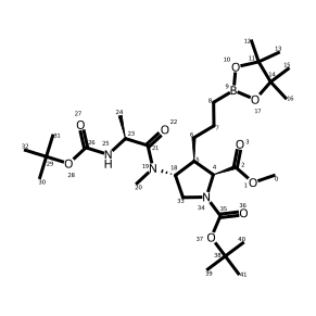 COC(=O)[C@@H]1[C@H](CCCB2OC(C)(C)C(C)(C)O2)[C@@H](N(C)C(=O)[C@H](C)NC(=O)OC(C)(C)C)CN1C(=O)OC(C)(C)C